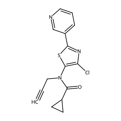 C#CCN(C(=O)C1CC1)c1sc(-c2cccnc2)nc1Cl